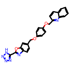 c1ccc2nc(COc3ccc(OCc4ccc5nc(-c6nnn[nH]6)oc5c4)cc3)ccc2c1